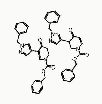 O=C1C=CN(C(=O)OCc2ccccc2)CC1c1cnn(Cc2ccccc2)c1.O=C1CCN(C(=O)OCc2ccccc2)C=C1c1cnn(Cc2ccccc2)c1